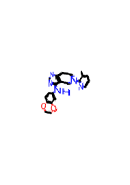 Cc1cccnc1N1CCc2ncnc(Nc3ccc4c(c3)OCCO4)c2C1